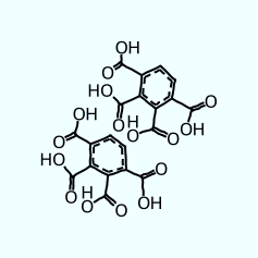 O=C(O)c1ccc(C(=O)O)c(C(=O)O)c1C(=O)O.O=C(O)c1ccc(C(=O)O)c(C(=O)O)c1C(=O)O